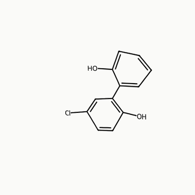 Oc1ccccc1-c1cc(Cl)ccc1O